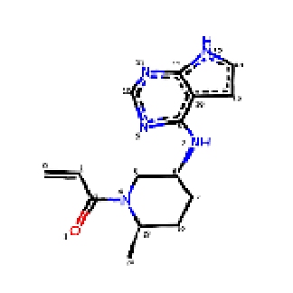 C=CC(=O)N1C[C@@H](Nc2ncnc3[nH]ccc23)CC[C@H]1C